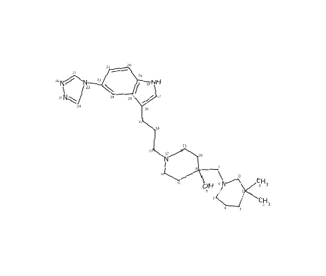 CC1(C)CCCN(CC2(O)CCN(CCCc3c[nH]c4ccc(-n5cnnc5)cc34)CC2)C1